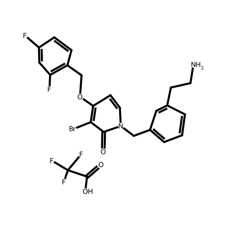 NCCc1cccc(Cn2ccc(OCc3ccc(F)cc3F)c(Br)c2=O)c1.O=C(O)C(F)(F)F